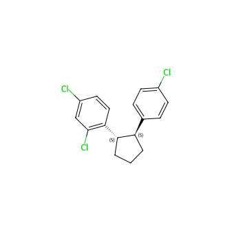 Clc1ccc([C@H]2CCC[C@@H]2c2ccc(Cl)cc2Cl)cc1